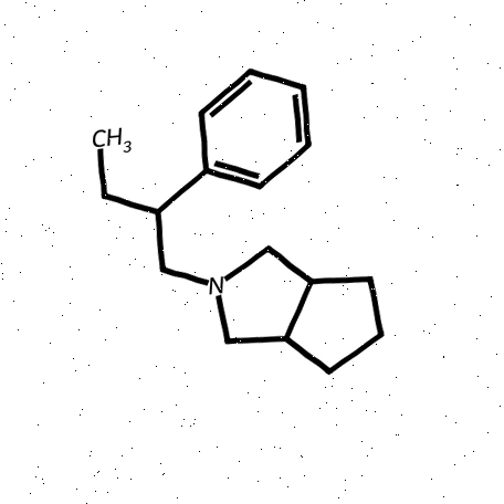 CCC(CN1CC2CCCC2C1)c1ccccc1